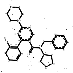 O=C(c1cnc(N2CCOCC2)nc1C1=C(F)CCC=C1)N(Cc1ccccc1)C1CCCC1